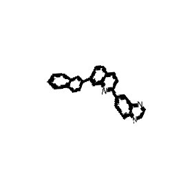 c1ccc2cc(-c3ccc4ccc(-c5ccc6nccnc6c5)nc4c3)ccc2c1